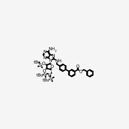 CC(C)(C)[Si](C)(C)OC[C@H]1O[C@@H](n2c(NCc3ccc(-c4cccc(C(=O)OCc5ccccc5)c4)cc3)nc3c(N)ncnc32)[C@H](O[Si](C)(C)C(C)(C)C)[C@@H]1O[Si](C)(C)C(C)(C)C